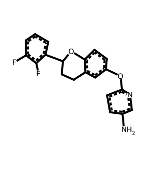 Nc1ccc(Oc2ccc3c(c2)CCC(c2cccc(F)c2F)O3)nc1